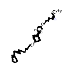 CC/C=C\CCCCOc1cnc(-c2ccc(OCCCCCCCC3CCCC3)cc2)nc1